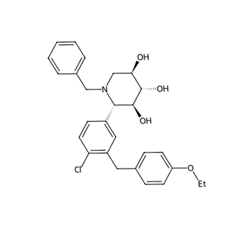 CCOc1ccc(Cc2cc([C@H]3[C@H](O)[C@@H](O)[C@H](O)CN3Cc3ccccc3)ccc2Cl)cc1